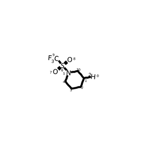 [2H]C1CCCN(S(=O)(=O)C(F)(F)F)C1